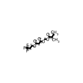 CCC(C)C(=O)OCOC(=O)CC(=O)OCCC(F)(F)F